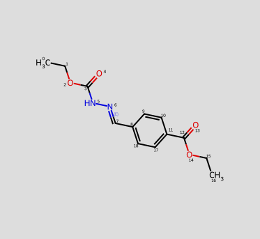 CCOC(=O)N/N=C/c1ccc(C(=O)OCC)cc1